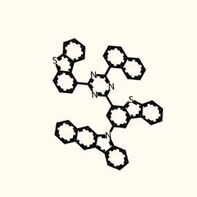 c1ccc2cc3c(cc2c1)c1ccccc1n3-c1cc(-c2nc(-c3cccc4ccccc34)nc(-c3cccc4sc5ccccc5c34)n2)c2sc3ccccc3c2c1